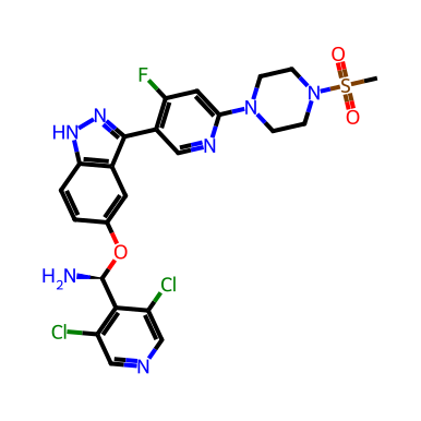 CS(=O)(=O)N1CCN(c2cc(F)c(-c3n[nH]c4ccc(O[C@H](N)c5c(Cl)cncc5Cl)cc34)cn2)CC1